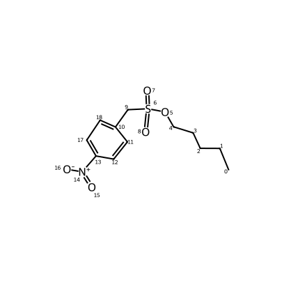 CCCCCOS(=O)(=O)Cc1ccc([N+](=O)[O-])cc1